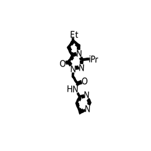 CCc1cc2c(=O)n(CC(=O)Nc3ccncn3)nc(C(C)C)n2c1